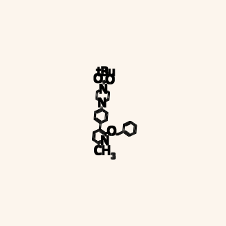 Cc1ccc(-c2ccc(N3CCN(C(=O)OC(C)(C)C)CC3)cc2)c(OCc2ccccc2)n1